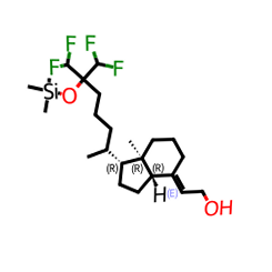 CC(CCCC(O[Si](C)(C)C)(C(F)F)C(F)F)[C@H]1CC[C@H]2/C(=C/CO)CCC[C@]12C